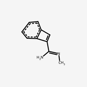 C/N=C(\N)C1=Cc2ccccc21